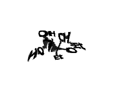 CCOC(C)(CC)N(O)O